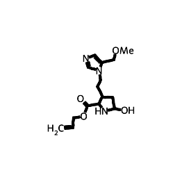 C=CCOC(=O)C1NC(O)CC1CCn1cncc1COC